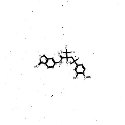 COc1ccc(C(C)(C)CC(O)(C(=O)Nc2ccc3c(c2)COC3=O)C(F)(F)F)cc1Br